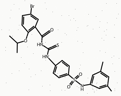 Cc1cc(C)cc(NS(=O)(=O)c2ccc(NC(=S)NC(=O)c3cc(Br)ccc3OC(C)C)cc2)c1